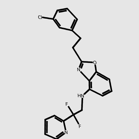 FC(F)(CNc1cccc2oc(CCc3cccc(Cl)c3)nc12)c1ccccn1